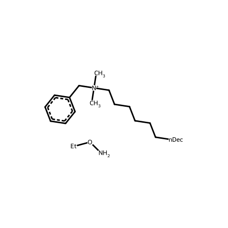 CCCCCCCCCCCCCCCC[N+](C)(C)Cc1ccccc1.CCON